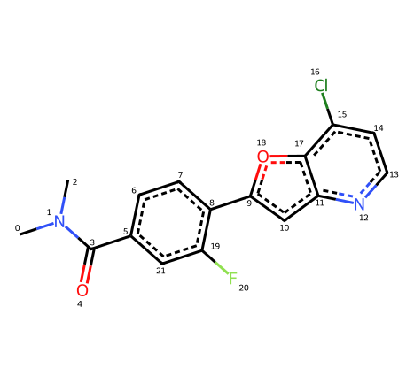 CN(C)C(=O)c1ccc(-c2cc3nccc(Cl)c3o2)c(F)c1